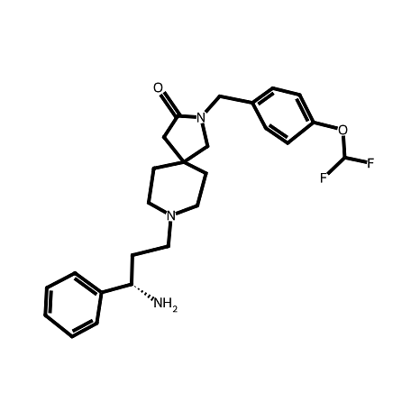 N[C@@H](CCN1CCC2(CC1)CC(=O)N(Cc1ccc(OC(F)F)cc1)C2)c1ccccc1